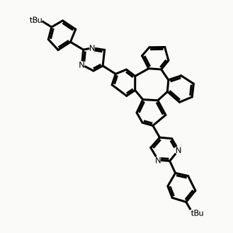 CC(C)(C)c1ccc(-c2ncc(-c3ccc4c(c3)-c3ccccc3-c3ccccc3-c3cc(-c5cnc(-c6ccc(C(C)(C)C)cc6)nc5)ccc3-4)cn2)cc1